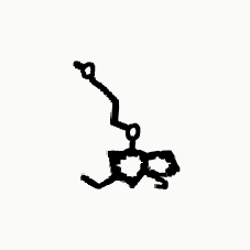 CCc1cc(OCCCOC)c2ccsc2c1